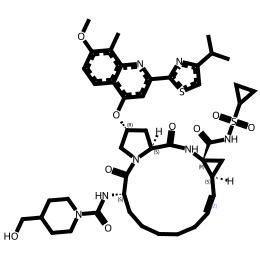 COc1ccc2c(O[C@@H]3C[C@H]4C(=O)N[C@]5(C(=O)NS(=O)(=O)C6CC6)C[C@H]5/C=C\CCCCC[C@H](NC(=O)N5CCC(CO)CC5)C(=O)N4C3)cc(-c3nc(C(C)C)cs3)nc2c1C